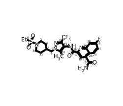 CCS(=O)(=O)N1CCC(Cn2nc(C(F)(F)F)c(NC(=O)c3cc(C(N)=O)c4ccc(F)cc4n3)c2C)CC1